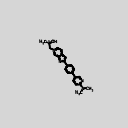 C[C@@H](O)Cn1ccc2cc(-c3ccc(-c4ccc(N(C)C)nc4)cc3)nc-2c1